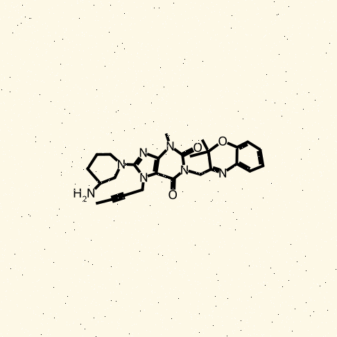 CC#CCn1c(N2CCCC(N)C2)nc2c1c(=O)n(CC1=Nc3ccccc3OC1(C)C)c(=O)n2C